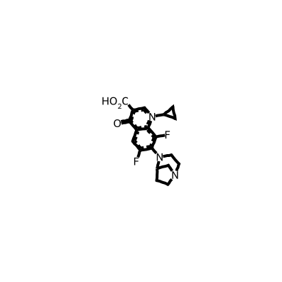 O=C(O)c1cn(C2CC2)c2c(F)c(N3CCN4CCC3C4)c(F)cc2c1=O